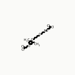 CCc1cc(OCC=C(Cl)Cl)cc(C)c1OCCCCCOCCC=NOCC=C(Cl)Cl